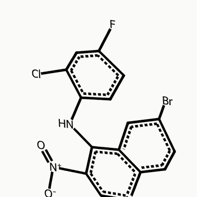 O=[N+]([O-])c1cnc2ccc(Br)cc2c1Nc1ccc(F)cc1Cl